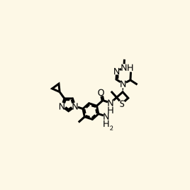 CN/N=C\N(C(C)C)[C@@H]1CSC1(C)NC(=O)c1cc(-n2cnc(C3CC3)c2)c(C)cc1N